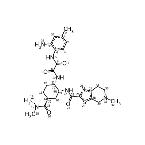 Cc1ccc(NC(=O)C(=O)N[C@H]2CC[C@H](C(=O)N(C)C)C[C@H]2NC(=O)c2nc3c(s2)CN(C)CC3)c(N)c1